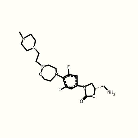 CN1CCN(CCN2CCN(c3c(F)cc(N4C[C@H](CN)OC4=O)cc3F)CCO2)CC1